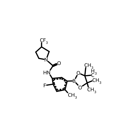 Cc1cc(F)c(NC(=O)N2CCC(C(F)(F)F)C2)cc1B1OC(C)(C)C(C)(C)O1